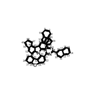 c1ccc2cc(-c3nc(-c4ccc5ccccc5c4)nc(-c4ccc5oc6ccccc6c5c4-n4c5cc6ccccc6cc5c5c6ccccc6ccc54)n3)ccc2c1